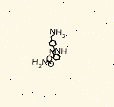 NCCc1ccc(-c2nc3c(OC(N)=O)cccc3[nH]2)cc1